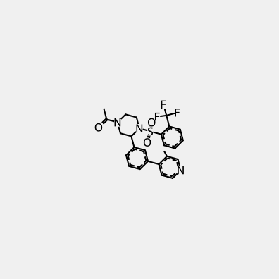 CC(=O)N1CCN(S(=O)(=O)c2ccccc2C(F)(F)F)C(c2cccc(-c3ccncc3C)c2)C1